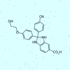 N#Cc1ccc(C2(c3ccc(OCCO)cc3)Nc3ccc(C(=O)O)cc3N2)cc1